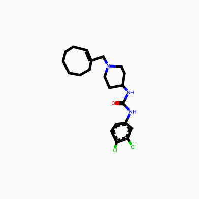 O=C(Nc1ccc(Cl)c(Cl)c1)NC1CCN(CC2=CCCCCCC2)CC1